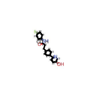 O=C(CCc1ccc(-c2ccc(O)cn2)cc1)Nc1ccc(F)cc1C(=O)O